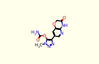 Cn1nnc(-c2cnc3c(c2)OCC(=O)N3)c1OC(N)=O